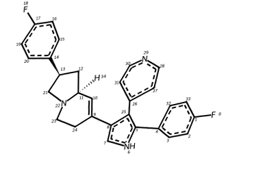 Fc1ccc(-c2[nH]cc(C3=C[C@@H]4C[C@H](c5ccc(F)cc5)CN4CC3)c2-c2ccncc2)cc1